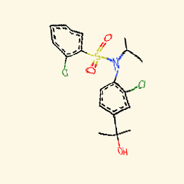 CC(C)N(c1ccc(C(C)(C)O)cc1Cl)S(=O)(=O)c1ccccc1Cl